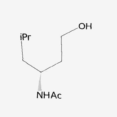 CC(=O)N[C@@H](CCO)CC(C)C